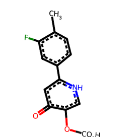 Cc1ccc(-c2cc(=O)c(OC(=O)O)c[nH]2)cc1F